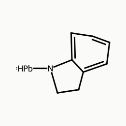 [PbH][N]1CCc2ccccc21